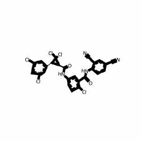 N#Cc1ccc(NC(=O)c2cc(NC(=O)[C@H]3[C@H](c4cc(Cl)cc(Cl)c4)C3(Cl)Cl)ccc2Cl)c(C#N)c1